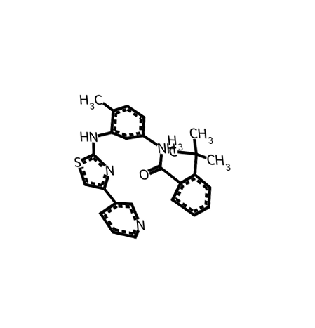 Cc1ccc(NC(=O)c2ccccc2C(C)(C)C)cc1Nc1nc(-c2cccnc2)cs1